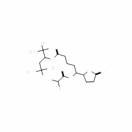 CCC(I)C(=O)OC(CCCC(=O)OC(CC(C)(C)O)C(C)(C)O)C1CCC(=O)O1